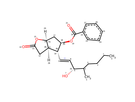 CCCCC(C)[C@H](O)/C=C/[C@@H]1[C@H]2CC(=O)O[C@H]2C[C@H]1OC(=O)c1ccccc1